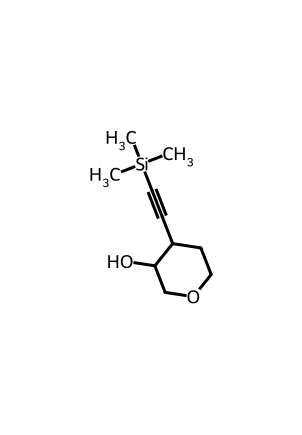 C[Si](C)(C)C#CC1CCOCC1O